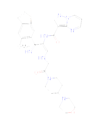 COc1cc2ccsc2cc1C(=N)/C(=C\NCC(=O)N1CCC(N2CCOCC2)CC1)NC(=O)c1cnn2cccnc12